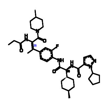 CCC(=O)N/C(C(=O)N1CCC(C)CC1)=C(\C)c1ccc(NC(=O)[C@@H](NC(=O)c2ccnn2C2CCCC2)[C@H]2CC[C@H](C)CC2)c(F)c1